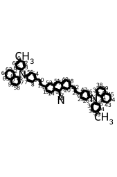 Cc1ccc(N(c2ccc(C=Cc3ccc4c(C#N)c5cc(C=Cc6ccc(N(c7ccc(C)cc7)c7cccc8c7CCCC8)cc6)ccc5cc4c3)cc2)c2cccc3c2CCCC3)cc1